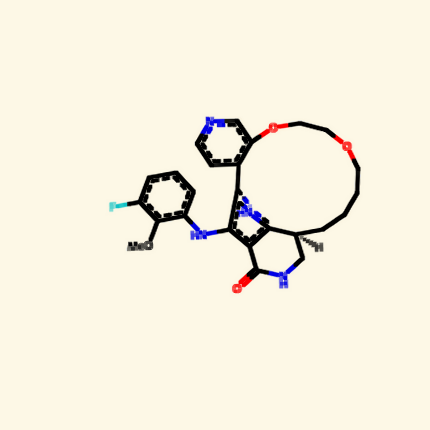 COc1c(F)cccc1Nc1c2[nH]c3c1C(=O)NC[C@@H]3CCCCOCCOc1cnccc1-2